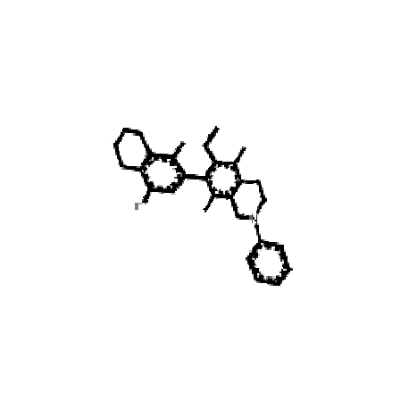 CCc1c(C)c2c(c(C)c1-c1cc(F)c3c(c1C)CCCC3)CN(c1ccccc1)CC2